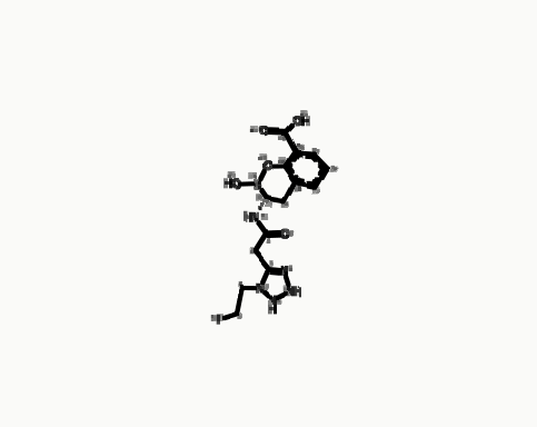 O=C(CC1=NNNN1CCF)N[C@H]1Cc2cccc(C(=O)O)c2OB1O